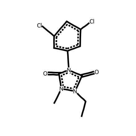 CCn1c(=O)n(-c2cc(Cl)cc(Cl)c2)c(=O)n1C